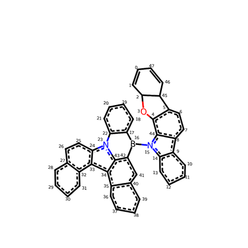 C1=CC2Oc3c(ccc4c5ccccc5n(B5c6ccccc6-n6c7ccc8ccccc8c7c7c8ccccc8cc5c76)c34)C2C=C1